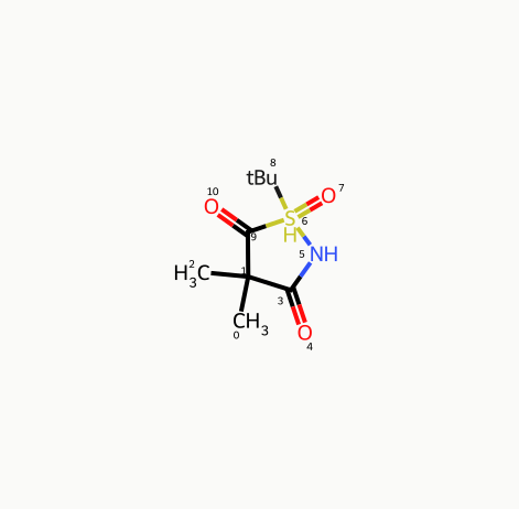 CC1(C)C(=O)N[SH](=O)(C(C)(C)C)C1=O